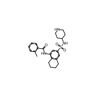 Cc1ccccc1C(=O)Nc1cc(S(=O)(=O)NC2CCNCC2)cc2c1CCCC2